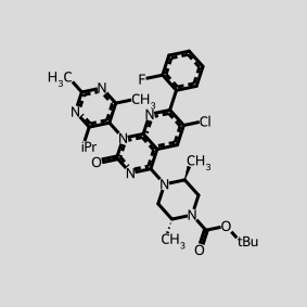 Cc1nc(C)c(-n2c(=O)nc(N3C[C@@H](C)N(C(=O)OC(C)(C)C)C[C@@H]3C)c3cc(Cl)c(-c4ccccc4F)nc32)c(C(C)C)n1